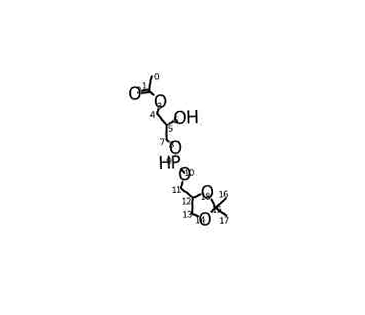 CC(=O)OC[C@@H](O)COPOCC1COC(C)(C)O1